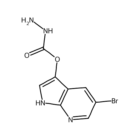 NNC(=O)Oc1c[nH]c2ncc(Br)cc12